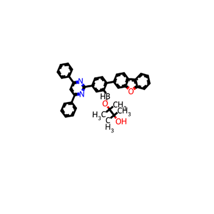 CC(C)(O)C(C)(C)OBc1cc(-c2nc(-c3ccccc3)cc(-c3ccccc3)n2)ccc1-c1ccc2c(c1)oc1ccccc12